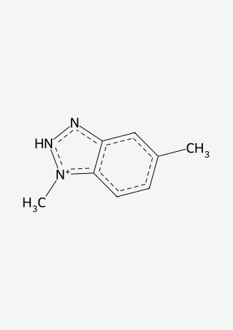 Cc1ccc2c(c1)n[nH][n+]2C